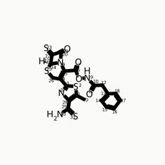 Cc1sc(C2=C(C(=O)ONC(=O)Cc3ccccc3)N3C(=O)C(=S)[C@@H]3SC2)nc1C(N)=S